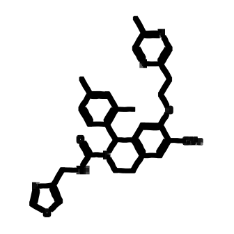 COc1cc2c(cc1OCCc1cnc(C)cn1)C(c1ccc(C)cc1C)N(C(=O)NCc1cocn1)CC2